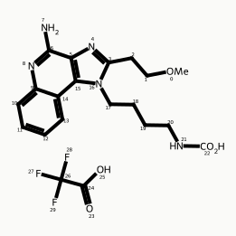 COCCc1nc2c(N)nc3ccccc3c2n1CCCCNC(=O)O.O=C(O)C(F)(F)F